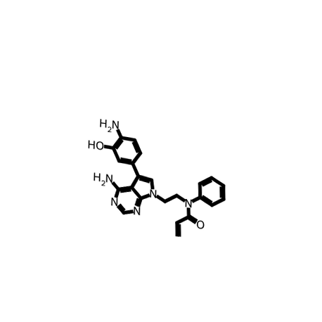 C=CC(=O)N(CCn1cc(-c2ccc(N)c(O)c2)c2c(N)ncnc21)c1ccccc1